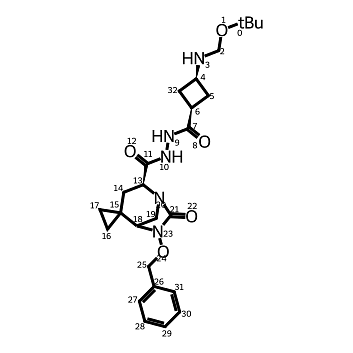 CC(C)(C)OCN[C@H]1C[C@@H](C(=O)NNC(=O)[C@@H]2CC3(CC3)C3CN2C(=O)N3OCc2ccccc2)C1